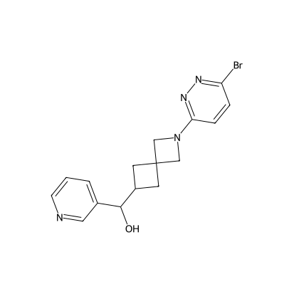 OC(c1cccnc1)C1CC2(C1)CN(c1ccc(Br)nn1)C2